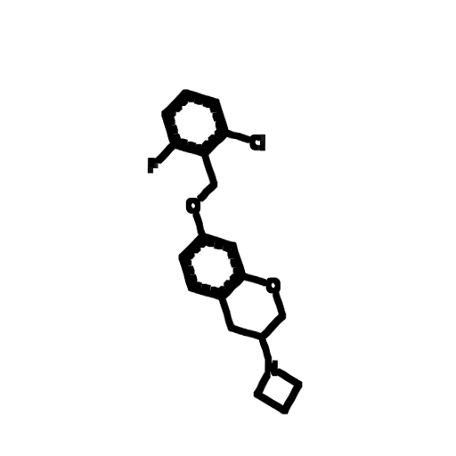 Fc1cccc(Cl)c1COc1ccc2c(c1)OCC(N1CCC1)C2